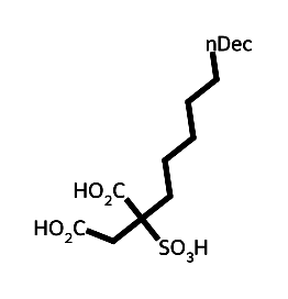 CCCCCCCCCCCCCCCC(CC(=O)O)(C(=O)O)S(=O)(=O)O